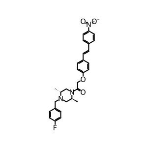 C[C@@H]1CN(C(=O)COc2ccc(/C=C/c3ccc([N+](=O)[O-])cc3)cc2)[C@@H](C)CN1Cc1ccc(F)cc1